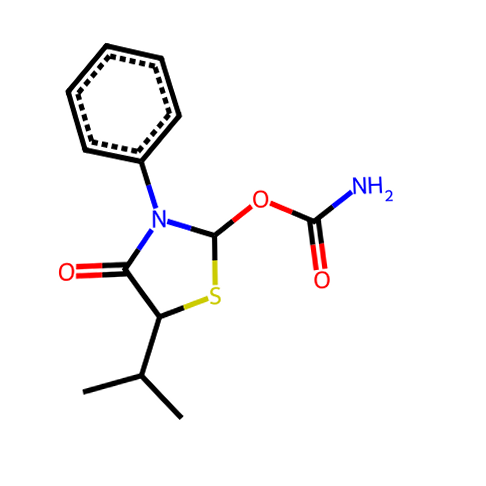 CC(C)C1SC(OC(N)=O)N(c2ccccc2)C1=O